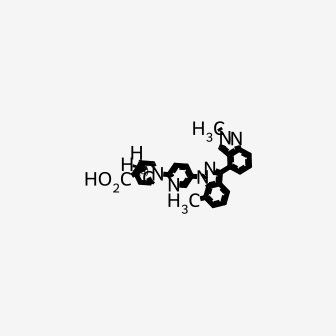 Cc1cccc2c(-c3cccc4nn(C)cc34)nn(-c3ccc(N4C[C@H]5CCC4C[C@@H]5C(=O)O)nc3)c12